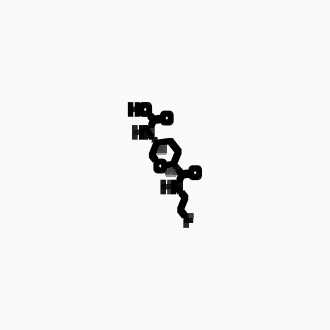 O=C(O)N[C@@H]1CC[C@@H](C(=O)NCCF)OC1